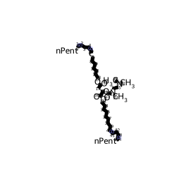 CCCCC/C=C\C/C=C\CCCCCCCCOC(=O)C[C@H](OC(=O)N(C)CCN(C)C)C(=O)OCCCCCCCC/C=C\C/C=C\CCCCC